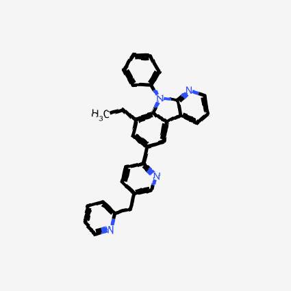 CCc1cc(-c2ccc(Cc3ccccn3)cn2)cc2c3cccnc3n(-c3ccccc3)c12